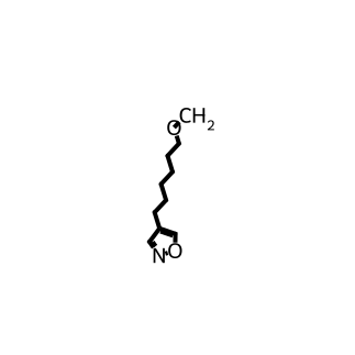 [CH2]OCCCCCCc1cnoc1